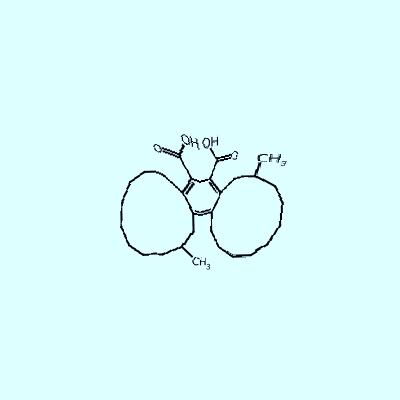 CC1CCCCCCCCc2c(c3c(c(C(=O)O)c2C(=O)O)CC(C)CCCCCCCC3)C1